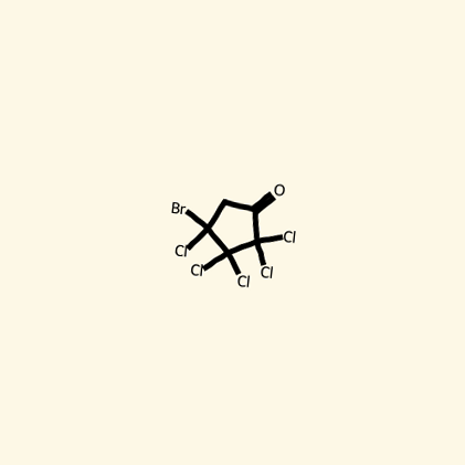 O=C1CC(Cl)(Br)C(Cl)(Cl)C1(Cl)Cl